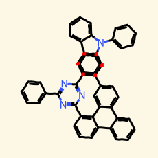 c1ccc(-c2nc(-c3ccccc3)nc(-c3cccc4c5ccccc5c5ccc(-c6ccc7c8ccccc8n(-c8ccccc8)c7c6)cc5c34)n2)cc1